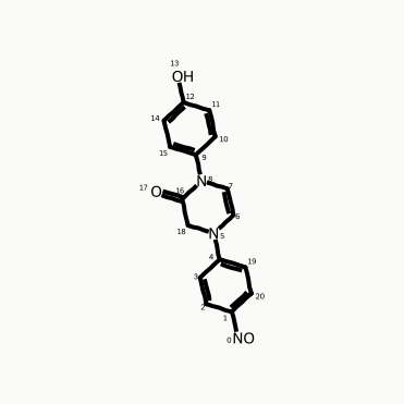 O=Nc1ccc(N2C=CN(c3ccc(O)cc3)C(=O)C2)cc1